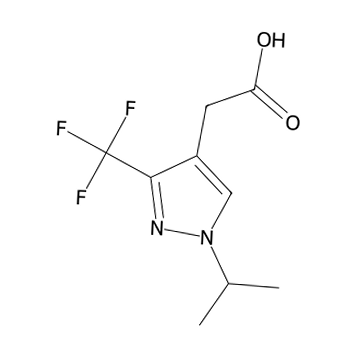 CC(C)n1cc(CC(=O)O)c(C(F)(F)F)n1